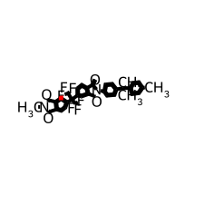 Cc1ccc(C(C)(C)c2ccc(N3C(=O)c4ccc(C(c5ccc6c(c5)C(=O)N(C)C6=O)(C(F)(F)F)C(F)(F)F)cc4C3=O)cc2)cc1